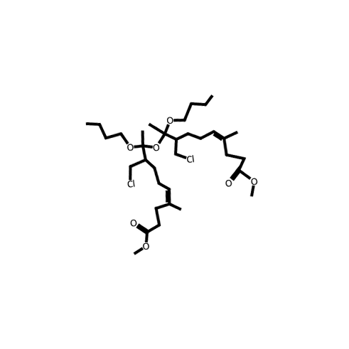 CCCCOC(C)(OC(C)(OCCCC)C(CCl)CCC=C(C)CCC(=O)OC)C(CCl)CCC=C(C)CCC(=O)OC